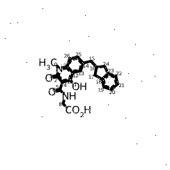 Cn1c(=O)c(C(=O)NCC(=O)O)c(O)c2cc(CC3Cc4ccccc4C3)ccc21